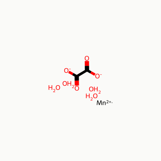 O.O.O.O.O=C([O-])C(=O)[O-].[Mn+2]